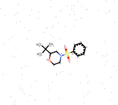 CC(C)(C)C1CN(S(=O)(=O)c2ccccc2)CCO1